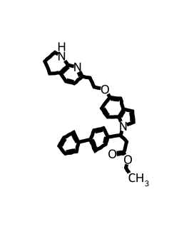 CCOC(=O)CC(c1ccc(-c2ccccc2)cc1)n1ccc2cc(OCCc3ccc4c(n3)NCCC4)ccc21